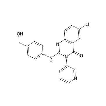 O=c1c2cc(Cl)ccc2nc(Nc2ccc(CO)cc2)n1-c1cccnc1